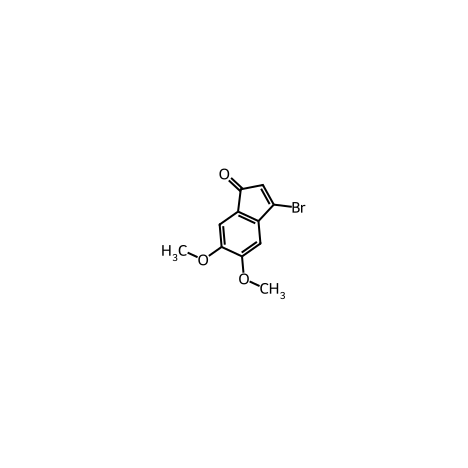 COc1cc2c(cc1OC)C(Br)=CC2=O